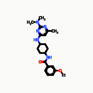 CCOc1cccc(C(=O)NC2CCC(Nc3cc(C)nc(N(C)C)n3)CC2)c1